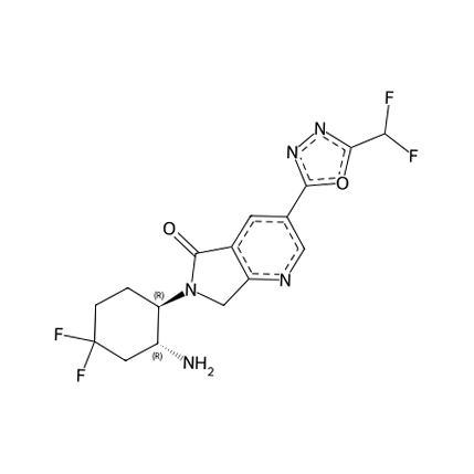 N[C@@H]1CC(F)(F)CC[C@H]1N1Cc2ncc(-c3nnc(C(F)F)o3)cc2C1=O